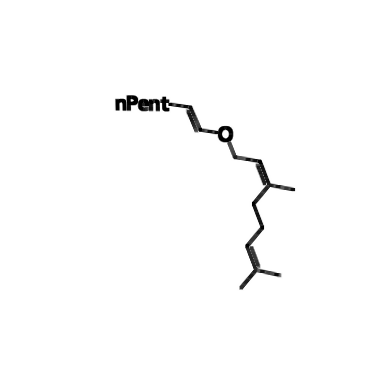 CCCCCC=COCC=C(C)CCC=C(C)C